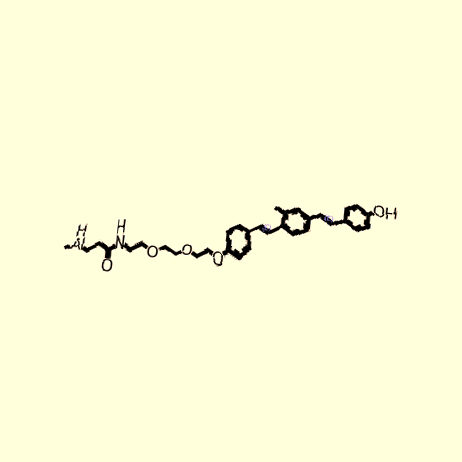 [CH3][AlH][CH2]CC(=O)NCCOCCOCCOc1ccc(/C=C/c2ccc(/C=C/c3ccc(O)cc3)cc2C)cc1